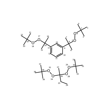 CC(C)(C)OOC(C)(C)c1cccc(C(C)(C)OOC(C)(C)C)c1.CCC(C)(OOC(C)(C)C)OOC(C)(C)C